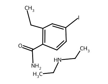 CCNCC.CCc1cc(I)ccc1C(N)=O